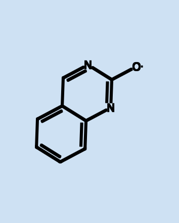 [O]c1ncc2ccccc2n1